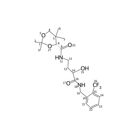 CC1(C)OCC(C)(C)[C@H](C(=O)NCCC(O)C(=O)NCc2ccccc2C(F)(F)F)O1